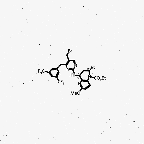 CCOC(=O)N1c2ccc(OC)nc2[C@@H](Nc2ncc(CBr)c(Cc3cc(C(F)(F)F)cc(C(F)(F)F)c3)n2)C[C@H]1CC